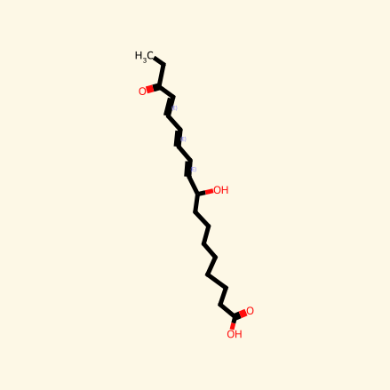 CCC(=O)/C=C/C=C/C=C/C(O)CCCCCCCC(=O)O